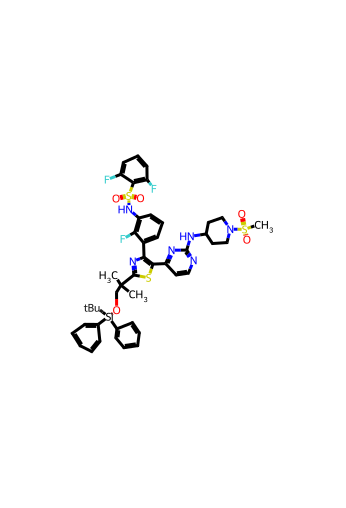 CC(C)(CO[Si](c1ccccc1)(c1ccccc1)C(C)(C)C)c1nc(-c2cccc(NS(=O)(=O)c3c(F)cccc3F)c2F)c(-c2ccnc(NC3CCN(S(C)(=O)=O)CC3)n2)s1